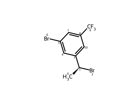 C[C@H](Br)c1cc(Br)cc(C(F)(F)F)c1